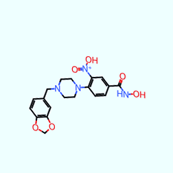 O=C(NO)c1ccc(N2CCN(Cc3ccc4c(c3)OCO4)CC2)c([N+](=O)O)c1